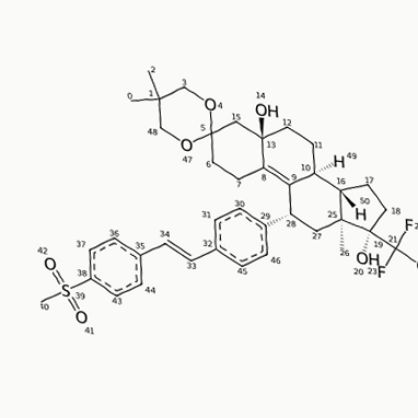 CC1(C)COC2(CCC3=C4[C@@H](CC[C@@]3(O)C2)[C@@H]2CC[C@@](O)(C(F)(F)C(F)(F)F)[C@@]2(C)C[C@@H]4c2ccc(C=Cc3ccc(S(C)(=O)=O)cc3)cc2)OC1